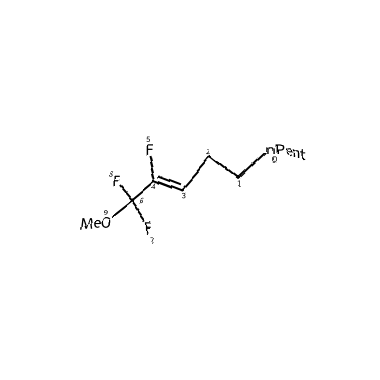 CCCCCCCC=C(F)C(F)(F)OC